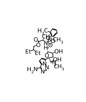 CCC(CC)COC(=O)[C@H](C)NP(=O)(OC[C@H]1O[C@@](C=NC)(c2ccc3c(N)ncnn23)[C@H](O)[C@@H]1O)Oc1c(C)cccc1C